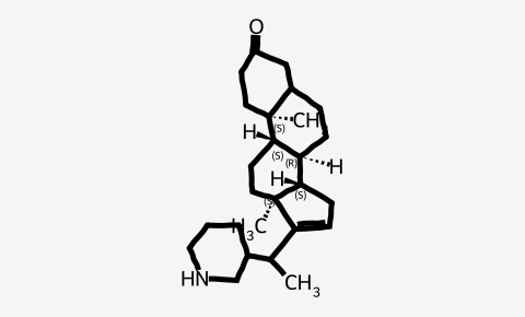 CC(C1=CC[C@H]2[C@@H]3CCC4CC(=O)CC[C@]4(C)[C@H]3CC[C@]12C)C1CCCNC1